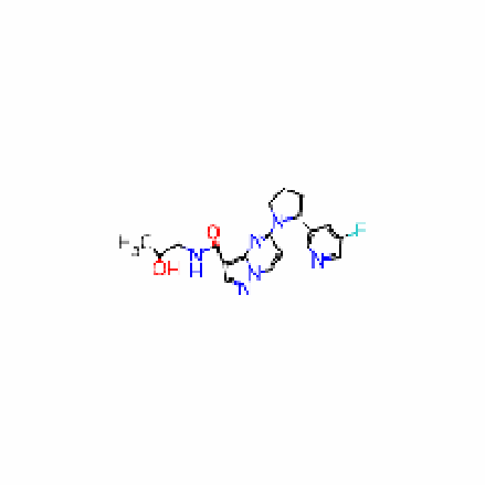 CC(O)CNC(=O)c1cnn2ccc(N3CCC[C@@H]3c3cncc(F)c3)nc12